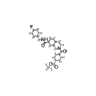 CC(C)(C)OC(=O)c1ccc(C(=O)N2C=Cc3ccc(C(=O)NCc4ccc(F)cc4)cc3C2)cc1